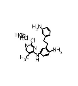 Cc1cnc(Cl)nc1Nc1ccc(N)c(CCc2cccc(N)c2)c1.Cl.Cl.Cl